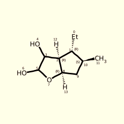 CC[C@H]1[C@@H]2C(O)C(O)O[C@@H]2C[C@@H]1C